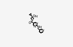 O=C(c1cnc(NCc2cccnc2)nc1)N1CC(O)(C2CC2)C1